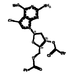 COc1nc(N)nc2c1c(Cl)cn2[C@H]1C[C@H](OC(=O)C(C)C)[C@@H](COC(=O)C(C)C)O1